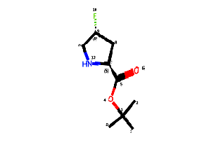 CC(C)(C)OC(=O)[C@@H]1C[C@@H](F)CN1